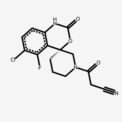 N#CCC(=O)N1CCC[C@@]2(C1)OC(=O)Nc1ccc(Cl)c(F)c12